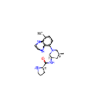 C[C@H]1C[C@@H](NC(=O)[C@H]2CCCN2)CN(c2ccc(C#N)c3nccnc23)C1